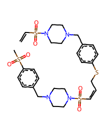 C=CS(=O)(=O)N1CCN(Cc2ccc(SC/C=C\S(=O)(=O)N3CCN(Cc4ccc(S(C)(=O)=O)cc4)CC3)cc2)CC1